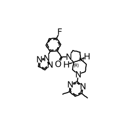 Cc1cc(C)nc(N2CC[C@H]3CCN(C(=O)c4cc(F)ccc4-n4nccn4)[C@H]3C2)n1